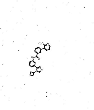 Cc1ncccc1-c1ccnc(C(=O)Nc2cccc(-c3nncn3C3CCC3)c2)c1